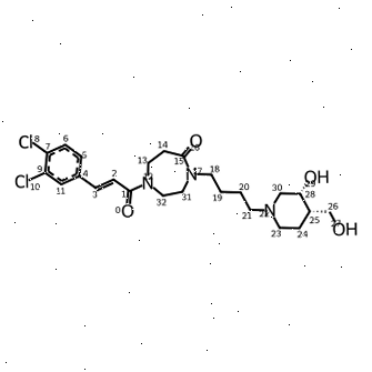 O=C(/C=C/c1ccc(Cl)c(Cl)c1)N1CCC(=O)N(CCCCN2CC[C@@H](CO)[C@@H](O)C2)CC1